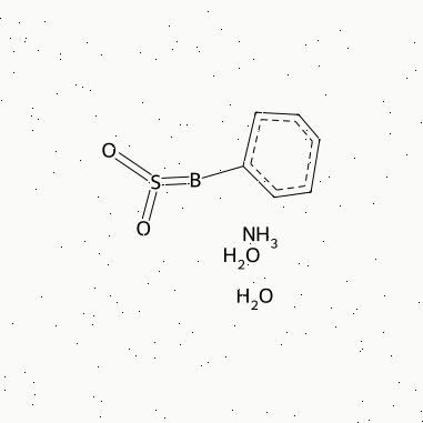 N.O.O.O=S(=O)=Bc1ccccc1